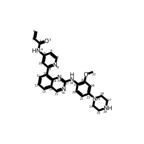 C=CC(=O)Nc1ccnc(-c2cccc3cnc(Nc4ccc(N5CCNCC5)cc4OC)nc23)c1